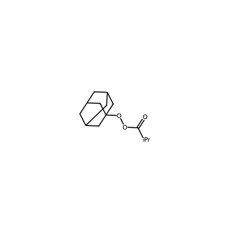 CC(C)C(=O)OOC12CC3CC(CC(C3)C1)C2